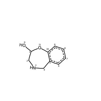 OC1CNCc2ccccc2O1